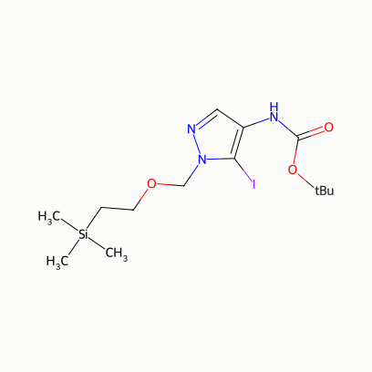 CC(C)(C)OC(=O)Nc1cnn(COCC[Si](C)(C)C)c1I